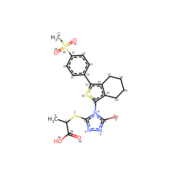 CC(Sc1nnc(Br)n1-c1sc(-c2ccc(S(C)(=O)=O)cc2)c2c1CCCC2)C(=O)O